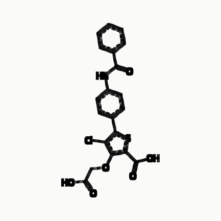 O=C(O)COc1c(C(=O)O)sc(-c2ccc(NC(=O)c3ccccc3)cc2)c1Cl